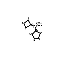 CCN(C1[CH]CC1)C1CCCC1